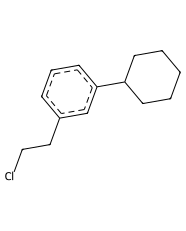 ClCCc1cccc(C2CCCCC2)c1